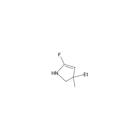 CCC1(C)C=C(F)NC1